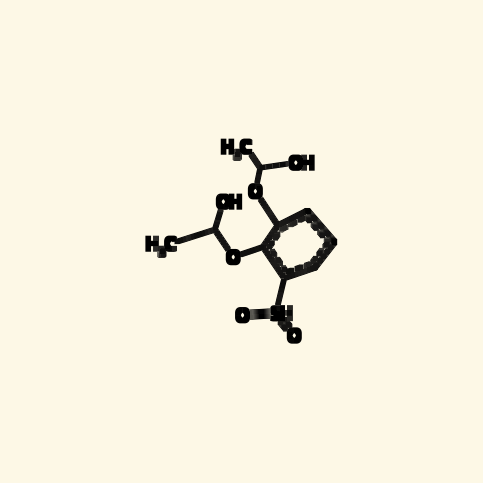 CC(O)Oc1cccc([SH](=O)=O)c1OC(C)O